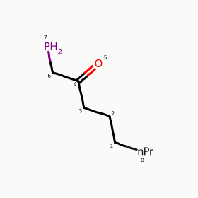 CCCCCCC(=O)CP